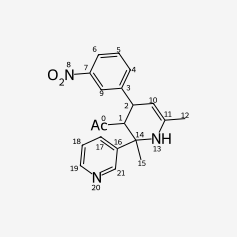 CC(=O)C1C(c2cccc([N+](=O)[O-])c2)C=C(C)NC1(C)c1cccnc1